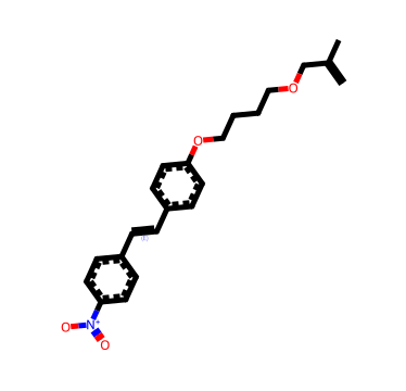 C=C(C)COCCCCOc1ccc(/C=C/c2ccc([N+](=O)[O-])cc2)cc1